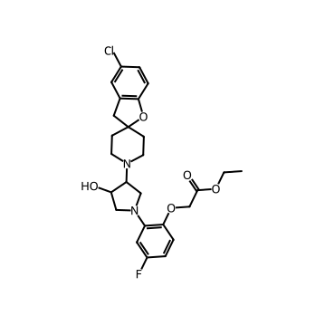 CCOC(=O)COc1ccc(F)cc1N1CC(O)C(N2CCC3(CC2)Cc2cc(Cl)ccc2O3)C1